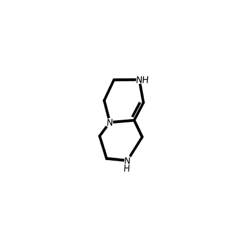 C1=C2CNCCN2CCN1